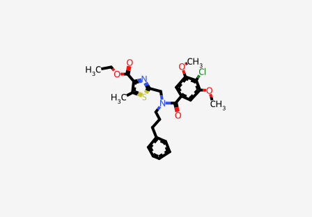 CCOC(=O)c1nc(CN(CCCc2ccccc2)C(=O)c2cc(OC)c(Cl)c(OC)c2)sc1C